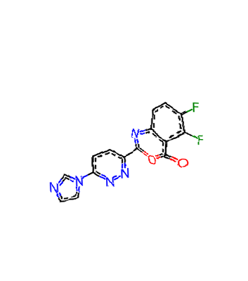 O=c1oc(-c2ccc(-n3ccnc3)nn2)nc2ccc(F)c(F)c12